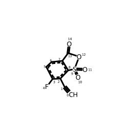 C#Cc1c(F)ccc2c1S(=O)(=O)OC2=O